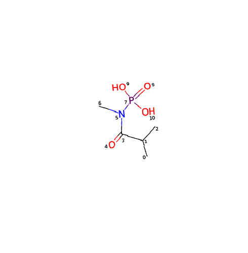 CC(C)C(=O)N(C)P(=O)(O)O